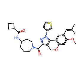 COc1cc2c(cc1C=C(C)C)-c1c(c(C(=O)N3CCCC(NC(=O)C4CCC4)CC3)nn1-c1ccsc1)CO2